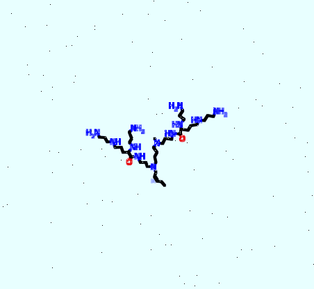 CC/C=C\CN(CCCCN(C)CCCNC(=O)C(CCCNCCCN)NCCCN)CCCNC(=O)C(CCCNCCCN)NCCCN